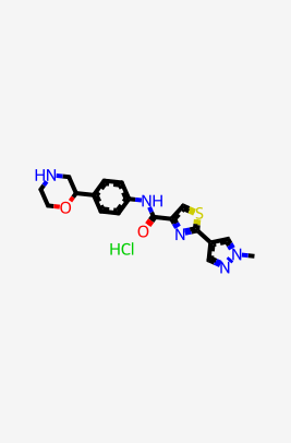 Cl.Cn1cc(-c2nc(C(=O)Nc3ccc(C4CNCCO4)cc3)cs2)cn1